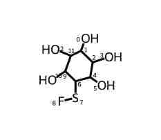 OC1C(O)C(O)C(SF)C(O)C1O